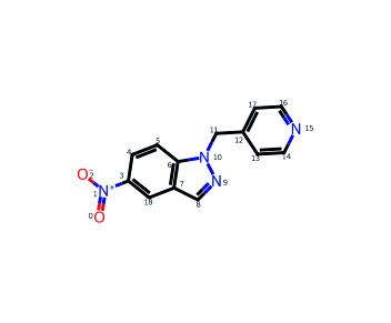 O=[N+]([O-])c1ccc2c(cnn2Cc2ccncc2)c1